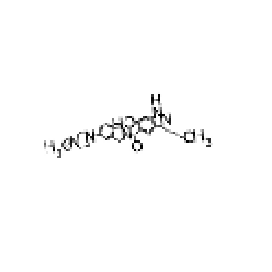 CCCCc1n[nH]c2cc(O)c(C(=O)N3Cc4ccc(N5CCN(C)CC5)cc4C3)cc12